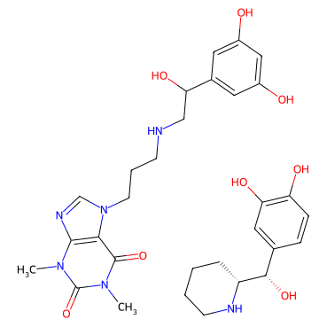 Cn1c(=O)c2c(ncn2CCCNCC(O)c2cc(O)cc(O)c2)n(C)c1=O.Oc1ccc([C@H](O)[C@H]2CCCCN2)cc1O